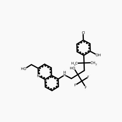 CC(C)(CC(O)(CNc1cccc2nc(CO)ccc12)C(F)(F)F)c1ccc(Cl)cc1O